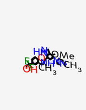 COc1c(N2CCN(C)CC2)cc(C(=O)N[C@H](C)c2cccc(C(F)(F)CO)c2)c2[nH]ncc12